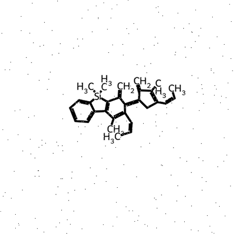 C=C1C(C)=C(/C=C\C)C/C1=c1\c(/C=C\C)c(C)c2c(c1=C)[Si](C)(C)c1ccccc1-2